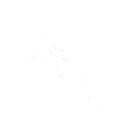 NC(=O)CN1C=C(Nc2ncnc3cc(OCCCN4CCC(O)CC4)ccc23)NN1c1cccc(F)c1